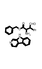 CC(C)C(C=O)C(N)C(=O)OCc1ccccc1.c1ccc2c(c1)[nH]c1cnccc12